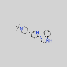 CC(C)(C)N1CCC(c2ccc(N3CCNc4ccccc43)nc2)CC1